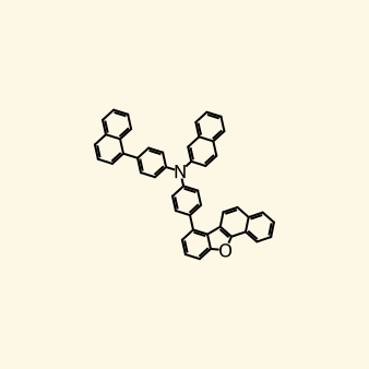 c1ccc2cc(N(c3ccc(-c4cccc5ccccc45)cc3)c3ccc(-c4cccc5oc6c7ccccc7ccc6c45)cc3)ccc2c1